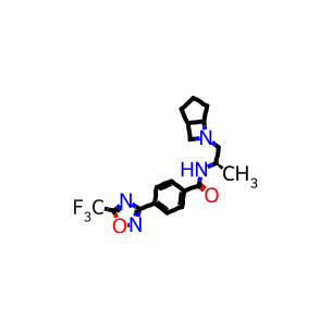 C[C@H](CN1CC2CCCC21)NC(=O)c1ccc(-c2noc(C(F)(F)F)n2)cc1